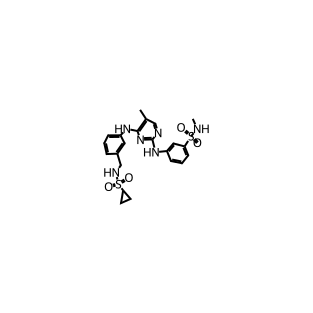 CNS(=O)(=O)c1cccc(Nc2ncc(C)c(Nc3cccc(CNS(=O)(=O)C4CC4)c3)n2)c1